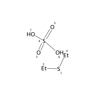 CCSCC.O=S(=O)(O)O